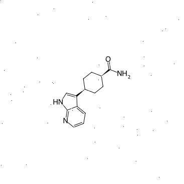 NC(=O)[C@H]1CC[C@@H](c2c[nH]c3ncccc32)CC1